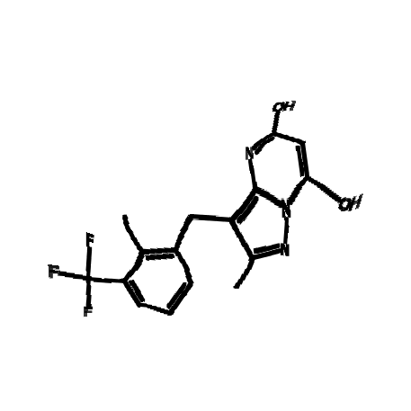 Cc1nn2c(O)cc(O)nc2c1Cc1cccc(C(F)(F)F)c1C